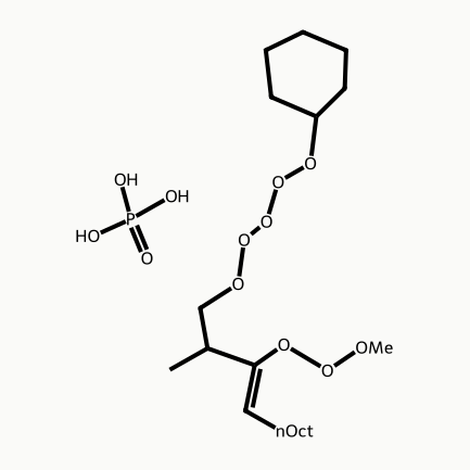 CCCCCCCCC=C(OOOC)C(C)COOOOOC1CCCCC1.O=P(O)(O)O